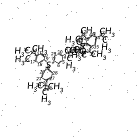 CC(C)(C)c1ccc([S+](c2ccc(C(C)(C)C)cc2)c2ccc(C(C)(C)C)cc2)cc1.CC(C)c1cc(C(C)C)c(S(=O)(=O)[O-])c(C(C)C)c1